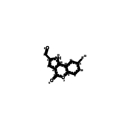 O=Cc1cc2c(=O)oc3ccc(F)cc3c2[nH]1